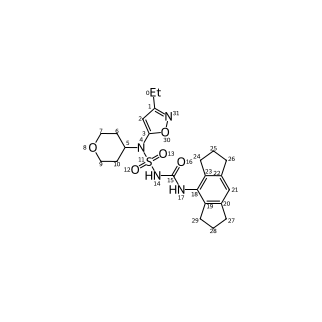 CCc1cc(N(C2CCOCC2)S(=O)(=O)NC(=O)Nc2c3c(cc4c2CCC4)CCC3)on1